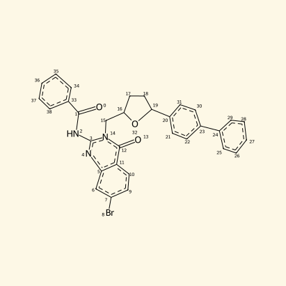 O=C(Nc1nc2cc(Br)ccc2c(=O)n1CC1CCC(c2ccc(-c3ccccc3)cc2)O1)c1ccccc1